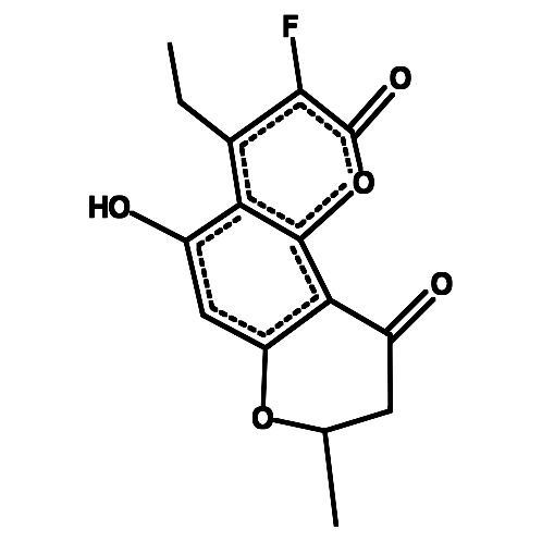 CCc1c(F)c(=O)oc2c3c(cc(O)c12)OC(C)CC3=O